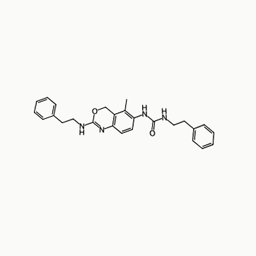 Cc1c(NC(=O)NCCc2ccccc2)ccc2c1COC(NCCc1ccccc1)=N2